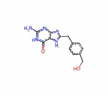 Nc1nc2nc(Cc3ccc(CO)cc3)[nH]c2c(=O)[nH]1